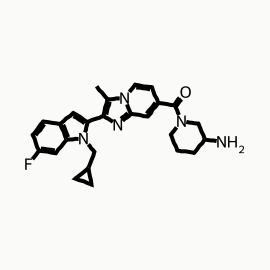 Cc1c(-c2cc3ccc(F)cc3n2CC2CC2)nc2cc(C(=O)N3CCCC(N)C3)ccn12